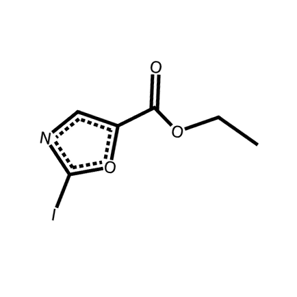 CCOC(=O)c1cnc(I)o1